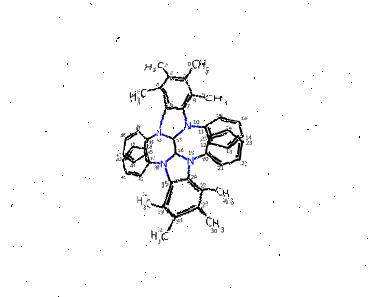 Cc1c(C)c(C)c2c(c1C)N(c1ccccc1)C(C1N(c3ccccc3)c3c(C)c(C)c(C)c(C)c3N1c1ccccc1)N2c1ccccc1